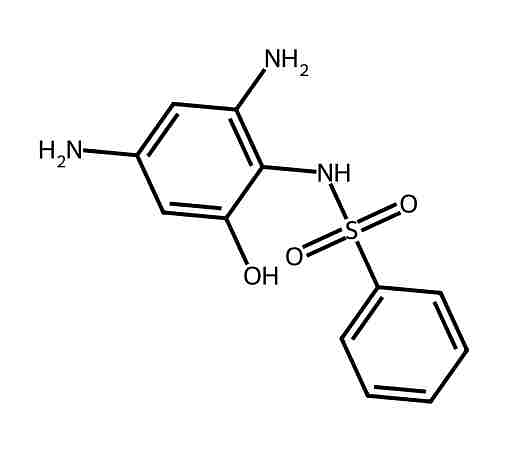 Nc1cc(N)c(NS(=O)(=O)c2ccccc2)c(O)c1